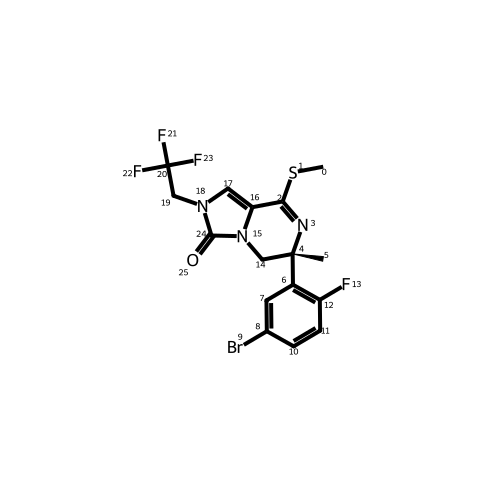 CSC1=N[C@](C)(c2cc(Br)ccc2F)Cn2c1cn(CC(F)(F)F)c2=O